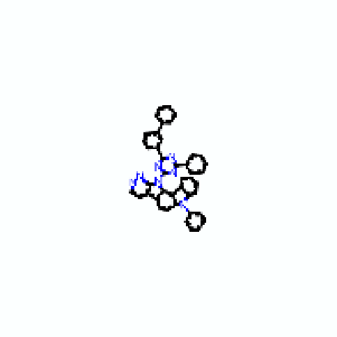 c1ccc(-c2cccc(-c3nc(-c4ccccc4)nc(-n4c5nnccc5c5ccc6c(c7ccccc7n6-c6ccccc6)c54)n3)c2)cc1